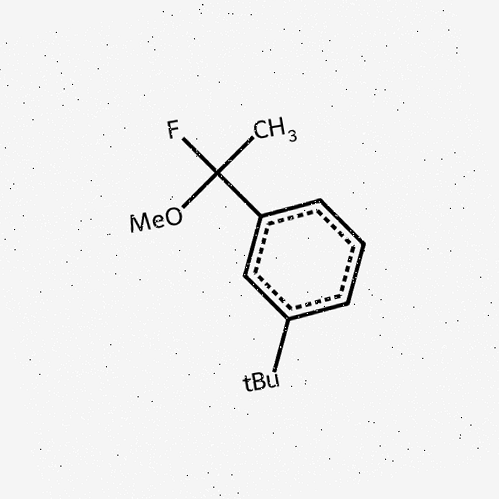 COC(C)(F)c1cccc(C(C)(C)C)c1